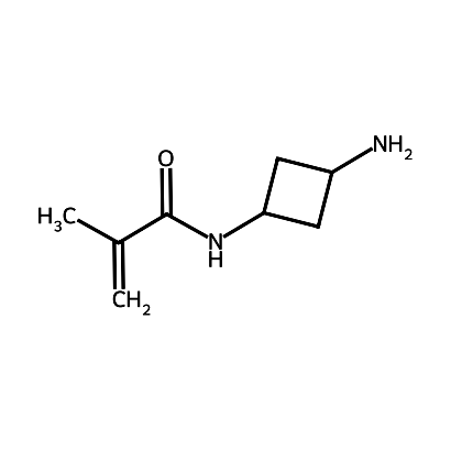 C=C(C)C(=O)NC1CC(N)C1